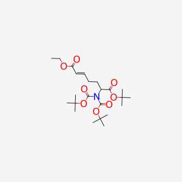 CCOC(=O)C=CCCC(C(=O)OC(C)(C)C)N(C(=O)OC(C)(C)C)C(=O)OC(C)(C)C